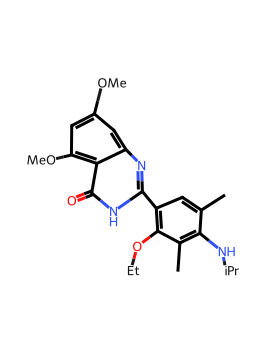 CCOc1c(-c2nc3cc(OC)cc(OC)c3c(=O)[nH]2)cc(C)c(NC(C)C)c1C